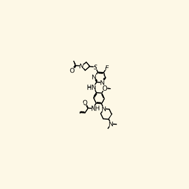 C=CC(=O)Nc1cc(Nc2ncc(F)c(SC3CN(C(C)=O)C3)n2)c(OC)cc1N1CCC(N(C)C)CC1